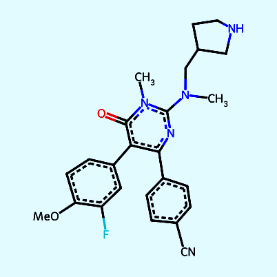 COc1ccc(-c2c(-c3ccc(C#N)cc3)nc(N(C)CC3CCNC3)n(C)c2=O)cc1F